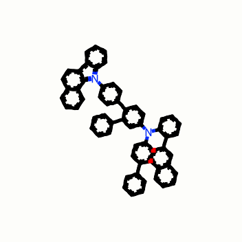 c1ccc(-c2ccc(N(c3ccc(-c4ccc(-n5c6ccccc6c6ccc7ccccc7c65)cc4)c(-c4ccccc4)c3)c3ccccc3-c3ccc4ccccc4c3)cc2)cc1